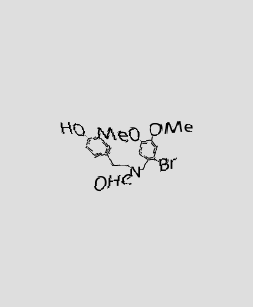 COc1cc(Br)c(CN(C=O)CCc2ccc(O)cc2)cc1OC